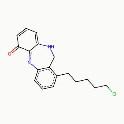 O=C1C=CC=C2NCc3c(CCCCCCl)cccc3N=C12